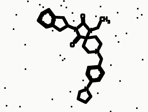 CCN1C(=O)N(C2Cc3ccccc3C2)C(=O)C12CCN(Cc1ccc(N3CCCC3)cc1)CC2